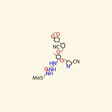 CSCCNC(=O)NCCNCc1cc(C)c(OCc2cccc(-c3ccc4c(c3)OCCO4)c2C#N)cc1OCc1cncc(C#N)c1